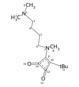 CN(C)CCCCN(C)c1c(C(C)(C)C)c(=O)c1=O